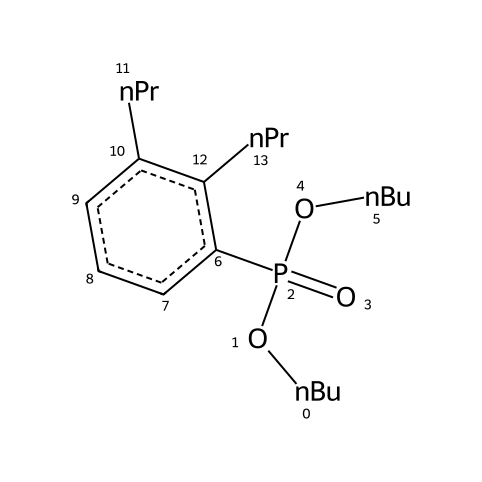 CCCCOP(=O)(OCCCC)c1cccc(CCC)c1CCC